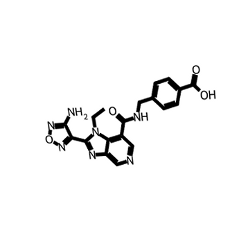 CCn1c(-c2nonc2N)nc2cncc(C(=O)NCc3ccc(C(=O)O)cc3)c21